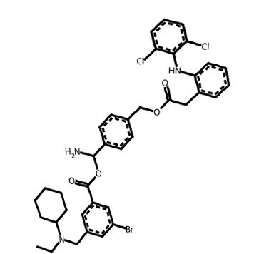 CCN(Cc1cc(Br)cc(C(=O)OC(N)c2ccc(COC(=O)Cc3ccccc3Nc3c(Cl)cccc3Cl)cc2)c1)C1CCCCC1